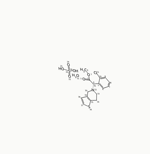 COC(=O)[C@H](c1ccccc1Cl)N1CCc2sccc2C1.O.O=S(=O)(O)O